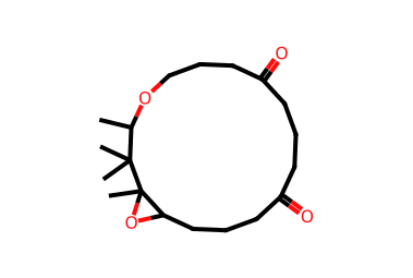 CC1OCCCC(=O)CCCC(=O)CCCC2OC2(C)C1(C)C